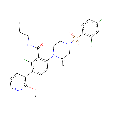 CCOc1ncccc1-c1ccc(N2CCN(S(=O)(=O)c3ccc(Cl)cc3Cl)C[C@H]2CC)c(C(=O)NCCNC)c1F